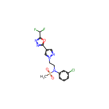 CS(=O)(=O)N(CCn1cc(-c2nnc(C(F)F)o2)cn1)c1cccc(Cl)c1